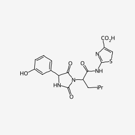 CC(C)CC(C(=O)Nc1nc(C(=O)O)cs1)N1C(=O)NC(c2cccc(O)c2)C1=O